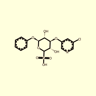 O=S(=O)(O)C1O[C@@H](Oc2ccccc2)[C@H](O)[C@@H](Oc2cncc(Cl)c2)[C@@H]1O